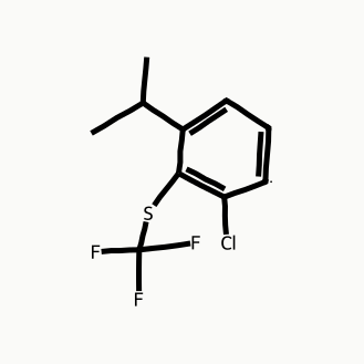 CC(C)c1cc[c]c(Cl)c1SC(F)(F)F